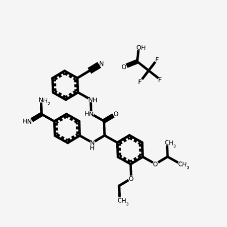 CCOc1cc(C(Nc2ccc(C(=N)N)cc2)C(=O)NNc2ccccc2C#N)ccc1OC(C)C.O=C(O)C(F)(F)F